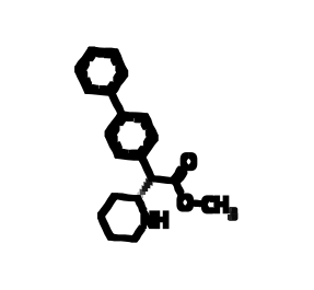 COC(=O)C(c1ccc(-c2ccccc2)cc1)[C@H]1CCCCN1